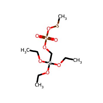 CCO[Si](COS(=O)(=O)OSC)(OCC)OCC